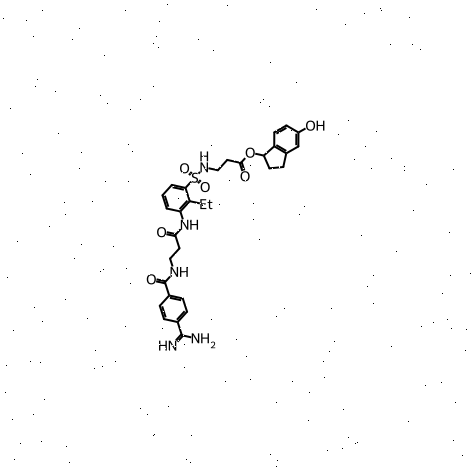 CCc1c(NC(=O)CCNC(=O)c2ccc(C(=N)N)cc2)cccc1S(=O)(=O)NCCC(=O)OC1CCc2cc(O)ccc21